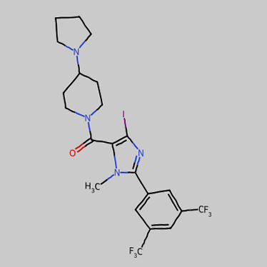 Cn1c(-c2cc(C(F)(F)F)cc(C(F)(F)F)c2)nc(I)c1C(=O)N1CCC(N2CCCC2)CC1